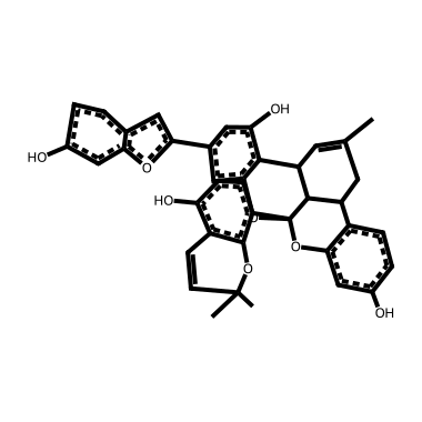 CC1=CC2c3c(O)cc(-c4cc5ccc(O)cc5o4)cc3OC3(c4ccc(O)c5c4OC(C)(C)C=C5)Oc4cc(O)ccc4C(C1)C23